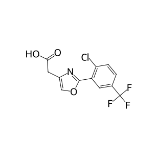 O=C(O)Cc1coc(-c2cc(C(F)(F)F)ccc2Cl)n1